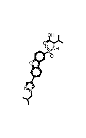 CC(C)Cn1cc(-c2ccc3c(c2)oc2ccc(S(=O)(=O)N[C@@H](C(=O)O)C(C)C)cc23)cn1